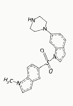 Cn1ccc2cc(S(=O)(=O)n3ccc4ccc(N5CCNCC5)cc43)ccc21